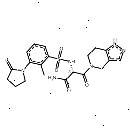 Cc1c(N2CCCC2=O)cccc1S(=O)(=O)N[C@@H](C(N)=O)C(=O)N1CCc2[nH]ncc2C1